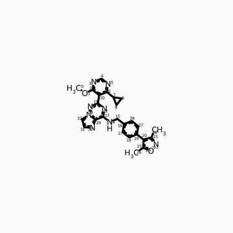 COc1ncnc(C2CC2)c1-c1nc(NCc2ccc(-c3c(C)noc3C)cc2)c2nccn2n1